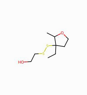 CCC1(SSCCO)CCOC1C